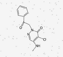 CNc1cnn(CC(=O)c2ccccc2)c(=O)c1Cl